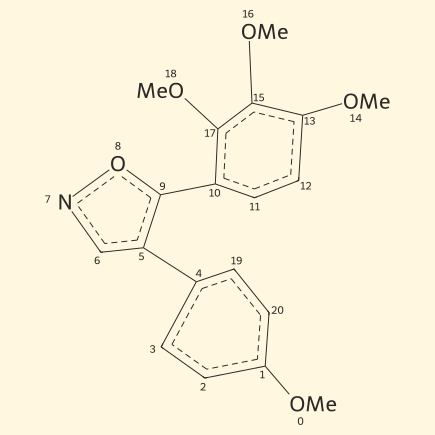 COc1ccc(-c2cnoc2-c2ccc(OC)c(OC)c2OC)cc1